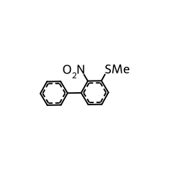 CSc1cccc(-c2ccccc2)c1[N+](=O)[O-]